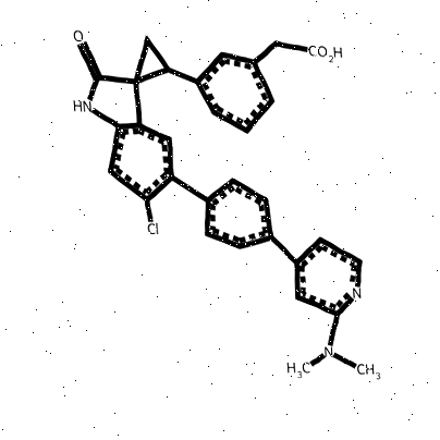 CN(C)c1cc(-c2ccc(-c3cc4c(cc3Cl)NC(=O)C43CC3c3cccc(CC(=O)O)c3)cc2)ccn1